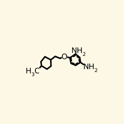 CC1CCC(CCOc2ccc(N)cc2N)CC1